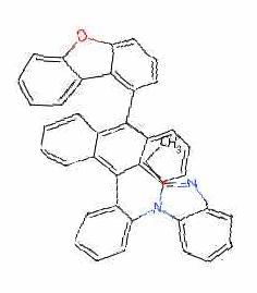 CCc1nc2ccccc2n1-c1ccccc1-c1c2ccccc2c(-c2cccc3oc4ccccc4c23)c2ccccc12